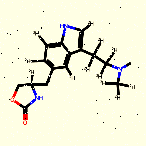 [2H]c1[nH]c2c([2H])c([2H])c(C[C@@]3([2H])COC(=O)N3)c([2H])c2c1C([2H])([2H])C([2H])([2H])N(C)C([2H])([2H])[2H]